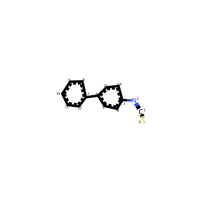 S=C=Nc1ccc(-c2ccccc2)cc1